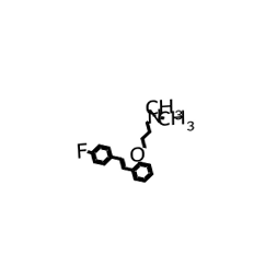 CN(C)CCCCOc1ccccc1C=Cc1ccc(F)cc1